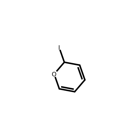 IC1C=CC=CO1